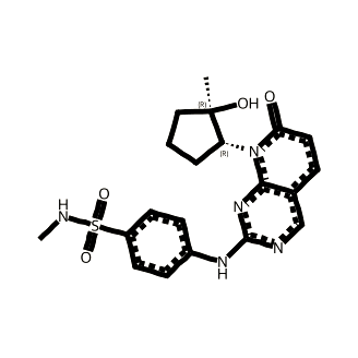 CNS(=O)(=O)c1ccc(Nc2ncc3ccc(=O)n([C@@H]4CCC[C@@]4(C)O)c3n2)cc1